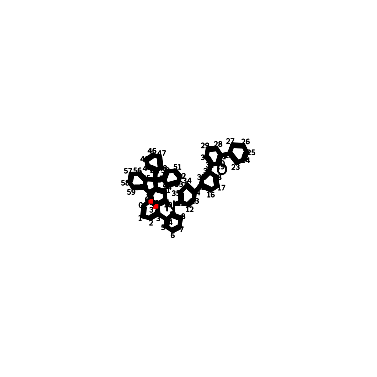 c1ccc(-c2ccccc2N(c2ccc(-c3ccc4oc5c(-c6ccccc6)cccc5c4c3)cc2)c2ccc3c(c2)C(c2ccccc2)(c2ccccc2)c2ccccc2-3)cc1